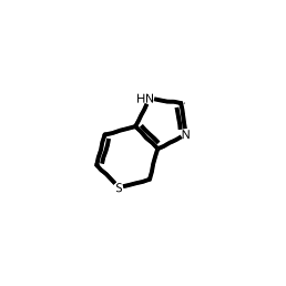 [c]1nc2c([nH]1)C=CSC2